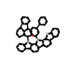 c1ccc(-c2cccc(-n3c4c(ccc5c6ccccc6oc54)c4ccc5c6ccccc6n(-c6ccc7c8c(cccc68)-c6ccccc6-7)c5c43)c2)cc1